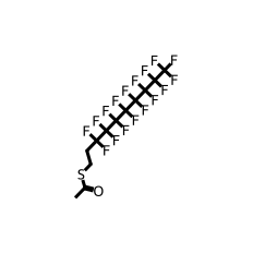 CC(=O)SCCC(F)(F)C(F)(F)C(F)(F)C(F)(F)C(F)(F)C(F)(F)C(F)(F)C(F)(F)F